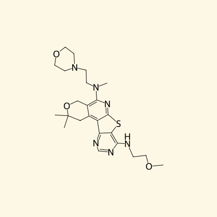 COCCNc1ncnc2c1sc1nc(N(C)CCN3CCOCC3)c3c(c12)CC(C)(C)OC3